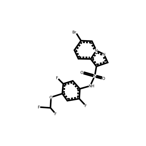 O=S(=O)(Nc1cc(F)c(OC(F)F)cc1F)c1cnn2cc(Br)ccc12